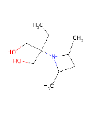 CCC(CO)(CO)N1C(C)CC1C